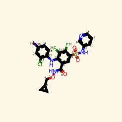 O=C(NOCC1CC1)c1cc(S(=O)(=O)Nc2cccnc2)c(F)c(F)c1Nc1ccc(I)cc1Cl